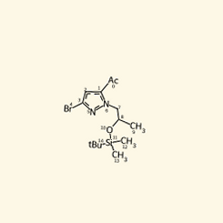 CC(=O)c1cc(Br)nn1CC(C)O[Si](C)(C)C(C)(C)C